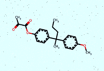 CCCC(C)(c1ccc(OC)cc1)c1ccc(OC(=O)C(C)=O)cc1